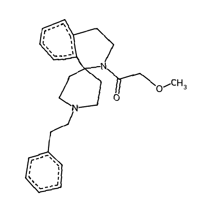 COCC(=O)N1CCc2ccccc2C12CCN(CCc1ccccc1)CC2